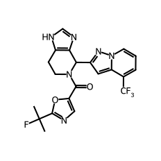 CC(C)(F)c1ncc(C(=O)N2CCc3[nH]cnc3C2c2cc3c(C(F)(F)F)cccn3n2)o1